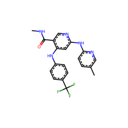 CNC(=O)c1cnc(Nc2ccc(C)cn2)cc1Nc1ccc(C(F)(F)F)cc1